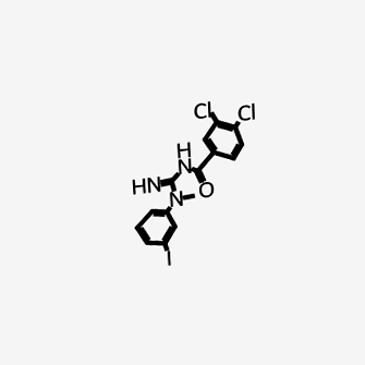 CN(C(=N)NC(=O)c1ccc(Cl)c(Cl)c1)c1cccc(I)c1